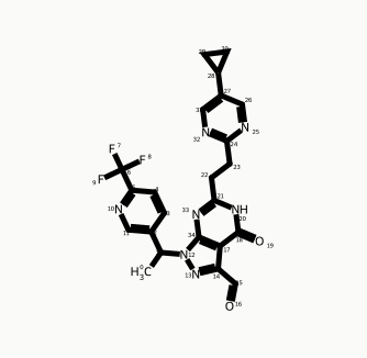 CC(c1ccc(C(F)(F)F)nc1)n1nc(C=O)c2c(=O)[nH]c(CCc3ncc(C4CC4)cn3)nc21